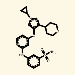 NS(=O)(=O)c1cccc(Nc2cc(Oc3cn(C4CC4)nc3C3CCOCC3)ccn2)c1